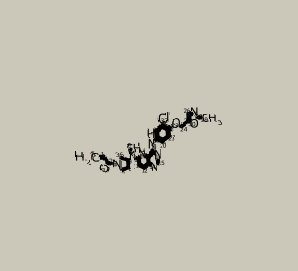 C=CC(=O)N1CC[C@H](N(C)c2ccc3ncnc(Nc4ccc(OCc5cnc(C)o5)c(Cl)c4)c3n2)C1